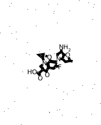 COc1c(N2CC(N)C3OC(C)CC32)c(F)cc2c(=O)c(C(=O)O)cn(C3CC3)c12